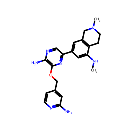 CNc1cc(-c2cnc(N)c(OCc3ccnc(N)c3)n2)cc2c1CCN(C)C2